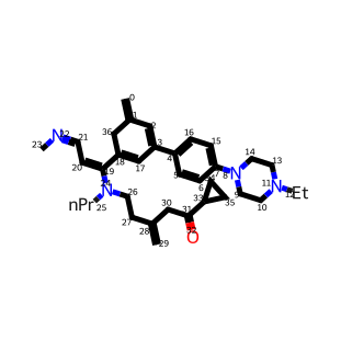 C=C1C=C(c2ccc(N3CCN(CC)CC3)cc2)C=C(/C(=C\C=N/C)N(CCC)CCC(=C)CC(=O)C2CC2)C1